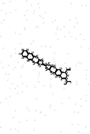 C=CC1CC(C(C)C)=Cc2cc3c(cc21)SC1=C(SC(=C2SC4=C(S2)Sc2cc5ccccc5cc2S4)S1)S3